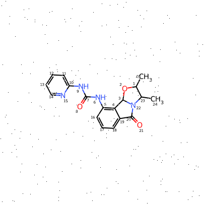 CC1OC2c3c(NC(=O)Nc4ccccn4)cccc3C(=O)N2C1C